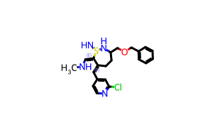 CN/C=C1\C(=C\c2ccnc(Cl)c2)CCC(COCc2ccccc2)NS1=N